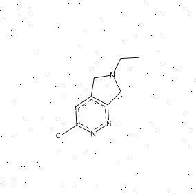 CCN1Cc2cc(Cl)nnc2C1